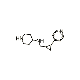 c1cc(C2CC2CNC2CCNCC2)ccn1